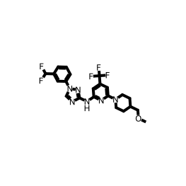 COCC1CCN(c2cc(C(F)(F)F)cc(Nc3ncn(-c4cccc(C(F)F)c4)n3)n2)CC1